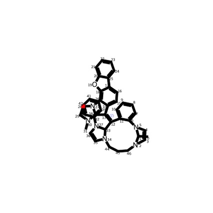 CC1N2C=CN1c1ccccc1/C(=C1\c3ccc4c(oc5ccccc54)c3N3C=CN(C)C13)C1N(C=CN1c1ccccc1)CCC2